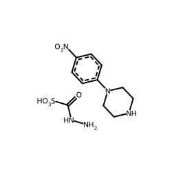 NNC(=O)S(=O)(=O)O.O=[N+]([O-])c1ccc(N2CCNCC2)cc1